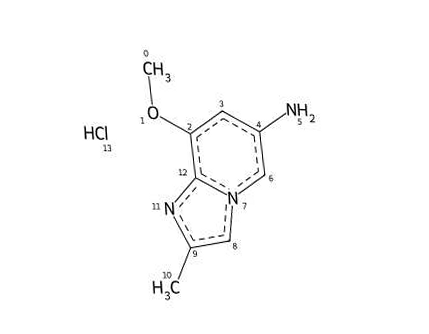 COc1cc(N)cn2cc(C)nc12.Cl